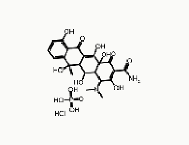 CN(C)C1C(O)=C(C(N)=O)C(=O)C2(O)C(O)=C3C(=O)c4c(O)cccc4C(C)(O)C3C(O)C12.Cl.O=P(O)(O)O